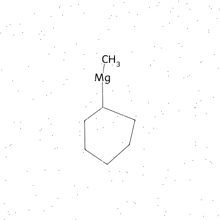 [CH3][Mg][CH]1CCCCC1